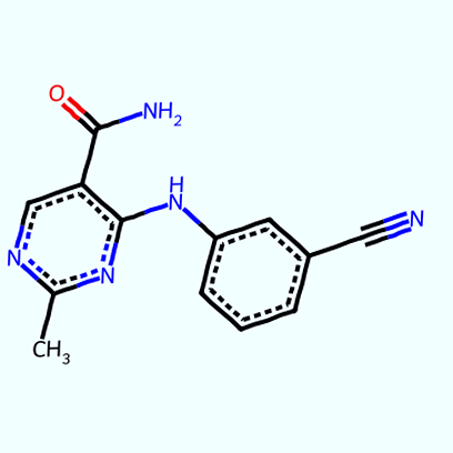 Cc1ncc(C(N)=O)c(Nc2cccc(C#N)c2)n1